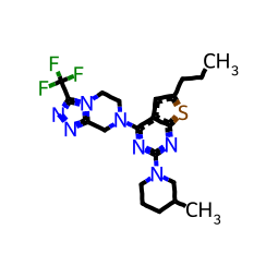 CCCc1cc2c(N3CCn4c(nnc4C(F)(F)F)C3)nc(N3CCCC(C)C3)nc2s1